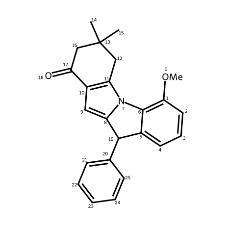 COc1cccc2c1-n1c(cc3c1CC(C)(C)CC3=O)C2c1ccccc1